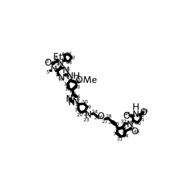 CC[C@@H]1C(=O)N(C)c2cnc(Nc3ccc(-c4cn([C@H]5CC[C@@H](N(C)CCOCCC#Cc6cccc7c6CN(C6CCC(=O)NC6=O)C7=O)CC5)nn4)cc3OC)nc2N1C1CCCC1